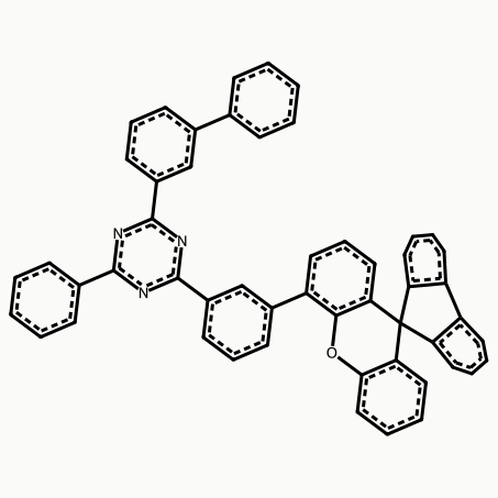 c1ccc(-c2cccc(-c3nc(-c4ccccc4)nc(-c4cccc(-c5cccc6c5Oc5ccccc5C65c6ccccc6-c6ccccc65)c4)n3)c2)cc1